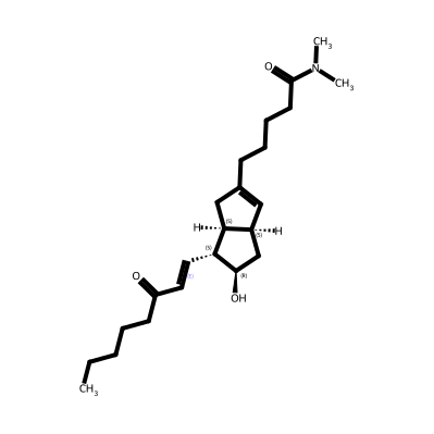 CCCCCC(=O)/C=C/[C@@H]1[C@H]2CC(CCCCC(=O)N(C)C)=C[C@H]2C[C@H]1O